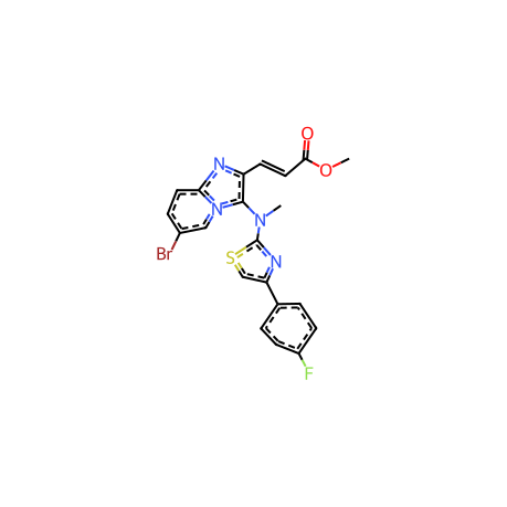 COC(=O)/C=C/c1nc2ccc(Br)cn2c1N(C)c1nc(-c2ccc(F)cc2)cs1